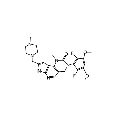 COc1cc(OC)c(F)c(N2Cc3cnc4[nH]c(CN5CCN(C)CC5)cc4c3N(C)C2=O)c1F